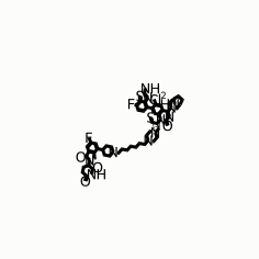 Nc1nc2c(-c3c(Cl)cc4c(N5CC6CCC(C5)N6)nc(=O)n5c4c3SC[C@@H]5CN3CCN(CCCCCCCN4CCC(c5cc(F)cc6c5CN(C5CCC(=O)NC5=O)C6=O)CC4)CC3)ccc(F)c2s1